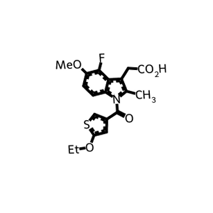 CCOc1cc(C(=O)n2c(C)c(CC(=O)O)c3c(F)c(OC)ccc32)cs1